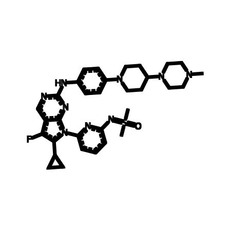 CN1CCN(C2CCN(c3ccc(Nc4ncc5c(F)c(C6CC6)n(-c6cccc(N=S(C)(C)=O)n6)c5n4)cc3)CC2)CC1